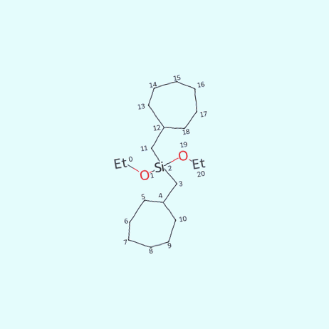 CCO[Si](CC1CCCCCC1)(CC1CCCCCC1)OCC